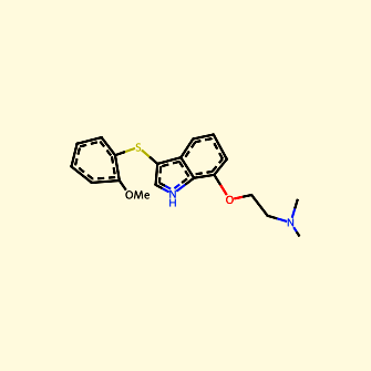 COc1ccccc1Sc1c[nH]c2c(OCCN(C)C)cccc12